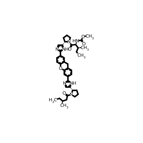 CC[C@H](C)CC(=O)N1CCC[C@H]1c1cnc(-c2ccc3c(c2)Oc2ccc(-c4ncc([C@@H]5CCCN5C(=O)[C@@H](NC(=O)OC)[C@@H](C)CC)[nH]4)cc2C3)[nH]1